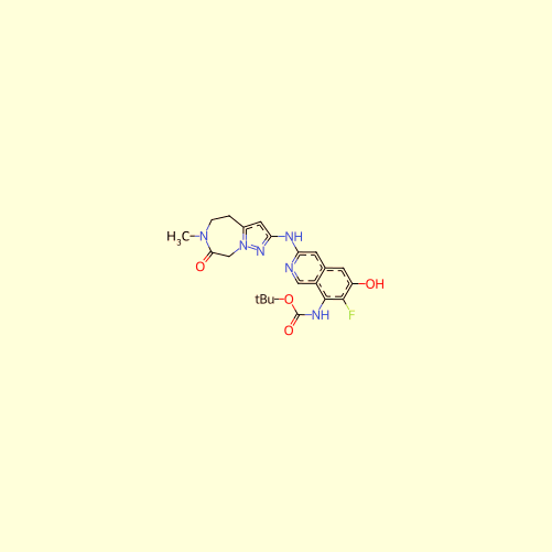 CN1CCc2cc(Nc3cc4cc(O)c(F)c(NC(=O)OC(C)(C)C)c4cn3)nn2CC1=O